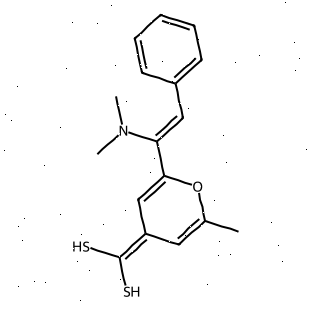 CC1=CC(=C(S)S)C=C(C(=Cc2ccccc2)N(C)C)O1